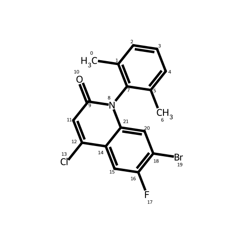 Cc1cccc(C)c1-n1c(=O)cc(Cl)c2cc(F)c(Br)cc21